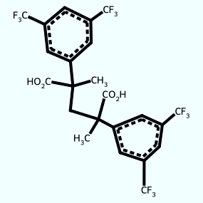 CC(CC(C)(C(=O)O)c1cc(C(F)(F)F)cc(C(F)(F)F)c1)(C(=O)O)c1cc(C(F)(F)F)cc(C(F)(F)F)c1